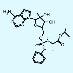 CC(C)OC(=O)[C@H](C)NP(=O)(OC[C@H]1O[C@@H](n2ccc3c(N)ncnc32)[C@](C)(O)[C@@H]1O)Oc1ccccc1